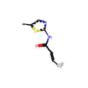 CCOC(=O)/C=C/C(=O)Nc1ncc(C)s1